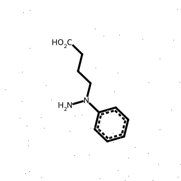 NN(CCCC(=O)O)c1ccccc1